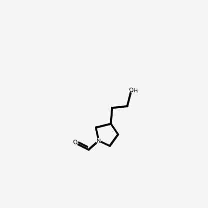 O=CN1CCC(CCO)C1